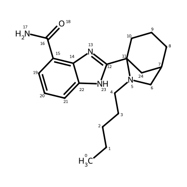 CCCCCN1CC2CCCC1(c1nc3c(C(N)=O)cccc3[nH]1)C2